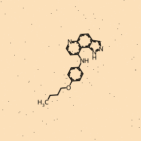 CCCCOc1ccc(Nc2ccnc3ccc4cn[nH]c4c23)cc1